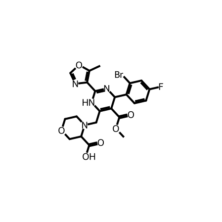 COC(=O)C1=C(CN2CCOCC2C(=O)O)NC(c2ncoc2C)=NC1c1ccc(F)cc1Br